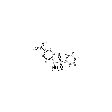 NC(c1ccc(C(=O)O)cc1)S(=O)(=O)c1ccccc1